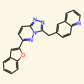 c1cnc2ccc(Cc3nnc4ccc(-c5cc6ccccc6o5)nn34)cc2c1